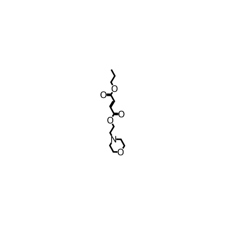 CCCOC(=O)C=CC(=O)OCCN1CCOCC1